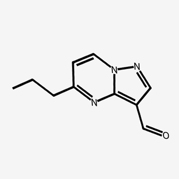 CCCc1ccn2ncc(C=O)c2n1